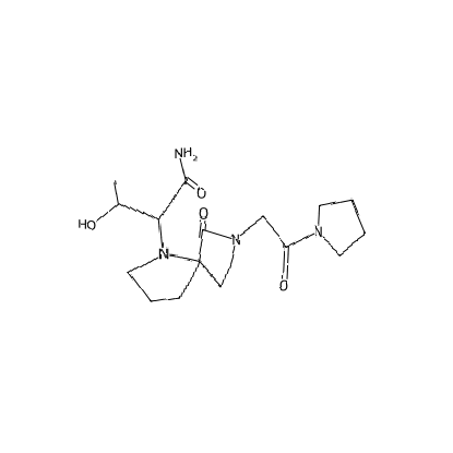 CC(O)C(C(N)=O)N1CCCC12CN(CC(=O)N1CCCC1)C2=O